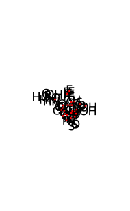 COC(=O)C(C(C)(C)CC(C)(C(=O)OCCNC(=O)NCCP(=O)(O)O)C(C)(C)C(C)(C)CC(C)(C(=O)OCC(F)(F)C(F)(F)C(F)(F)F)C(C)(C)SC(=S)OC(C)C)C(C)(C)CC1(C(=O)OCCNC(=O)NCCP(O)O)CC1(C)N(C)C(C)(C(=O)OCC(F)(F)C(F)(F)C(F)(F)F)C(C)(C)SC(=S)OC(C)C